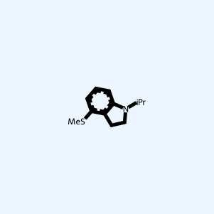 CSc1cccc2c1CCN2C(C)C